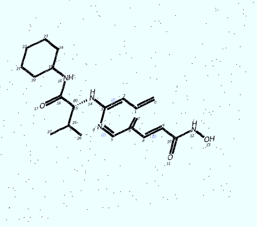 C=C/C=C(\N=C/C(=C)/C=C/C(=O)NO)N[C@@H](C(=O)NC1CCCCC1)C(C)C